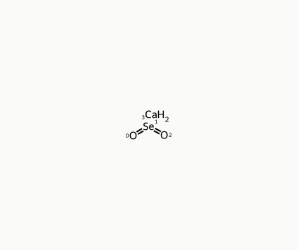 O=[Se]=O.[CaH2]